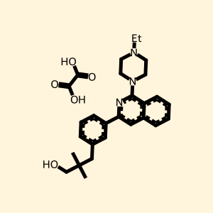 CCN1CCN(c2nc(-c3cccc(CC(C)(C)CO)c3)cc3ccccc23)CC1.O=C(O)C(=O)O